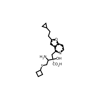 NC(CSC1CCC1)[C@](O)(Cc1nccc2oc(CCC3CC3)cc12)C(=O)O